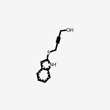 OCC#CCSc1cc2ccccc2[nH]1